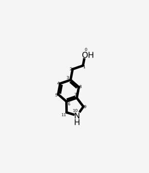 OCCc1ccc2c(c1)CNC2